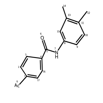 CC(=O)c1ccc(C(=O)Nc2ccc(C)c(C)c2)cc1